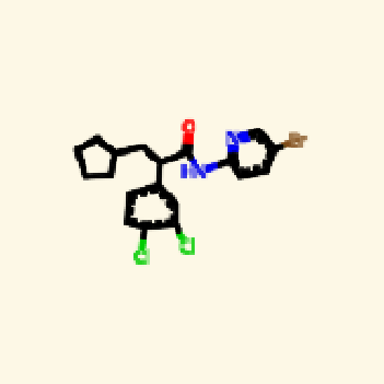 O=C(Nc1ccc(Br)cn1)C(CC1CCCC1)c1ccc(Cl)c(Cl)c1